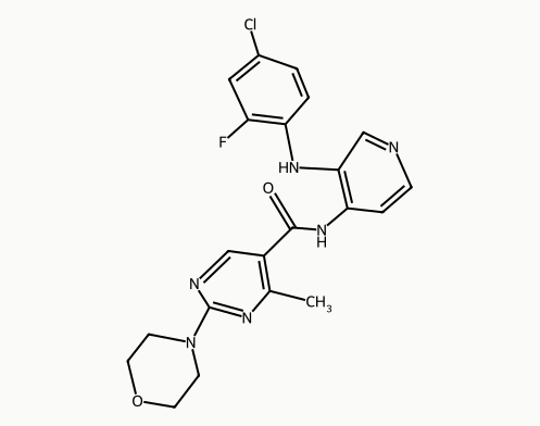 Cc1nc(N2CCOCC2)ncc1C(=O)Nc1ccncc1Nc1ccc(Cl)cc1F